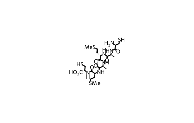 CSCC[C@H](NC(=O)[C@H](C)NC(=O)[C@@H](N)CS)C(=O)N[C@@H](C)C(=O)N[C@@H](CCSC)C(=O)N[C@@H](CS)C(=O)O